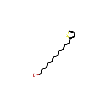 BrCCCCCCCCCCCc1cccs1